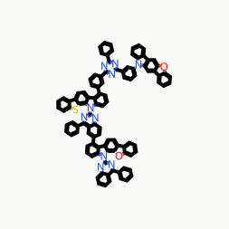 c1ccc(-c2nc(-c3cccc(-c4cccc5c4c4ccc6c7ccccc7sc6c4n5-c4nc(-c5ccccc5)c5cc(-c6cccc7c6c6ccc8c9ccccc9oc8c6n7-c6nc(-c7ccccc7)c7ccccc7n6)ccc5n4)c3)nc(-c3cccc(-n4c5ccccc5c5cc6oc7ccccc7c6cc54)c3)n2)cc1